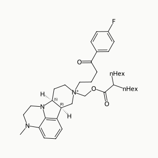 CCCCCCC(CCCCCC)C(=O)OC[N+]1(CCCC(=O)c2ccc(F)cc2)CC[C@H]2[C@@H](C1)c1cccc3c1N2CCN3C